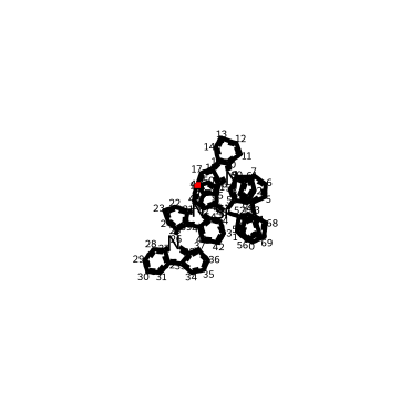 c1ccc(-c2cccc(-n3c4ccccc4c4ccc(-n5c6cccc(-n7c8ccccc8c8ccccc87)c6c6cccc([Si](c7ccccc7)(c7ccccc7)c7ccccc7)c65)cc43)c2)cc1